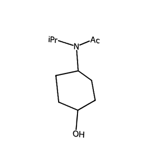 CC(=O)N(C(C)C)C1CCC(O)CC1